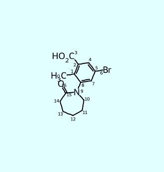 Cc1c(C(=O)O)cc(Br)cc1N1CCCCCC1=O